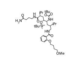 COCCCCOc1ccccc1C(=O)NCC(CC(NC(=O)OC(C)(C)C)C(CC(C(=O)NCCCC(N)=O)C(C)C)O[Si](C)(C)C(C)(C)C)C(C)C